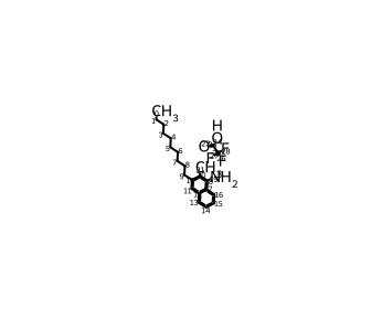 CCCCCCCCCCc1cc2ccccc2c(N)c1C.O=C(O)C(F)(F)F